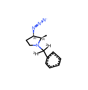 [2H]C([2H])(c1ccccc1)N1CC[C@@H](N=[N+]=[N-])[C@H]1C